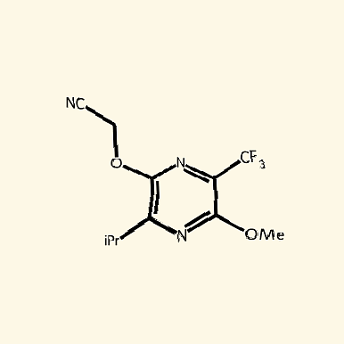 COc1nc(C(C)C)c(OCC#N)nc1C(F)(F)F